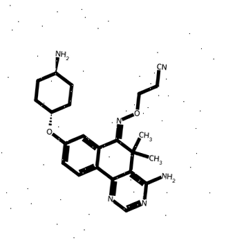 CC1(C)/C(=N\OCCC#N)c2cc(O[C@H]3CC[C@H](N)CC3)ccc2-c2ncnc(N)c21